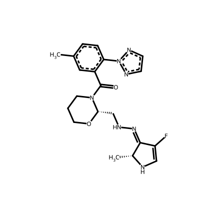 Cc1ccc(-n2nccn2)c(C(=O)N2CCCO[C@H]2CN/N=C2/C(F)=CN[C@@H]2C)c1